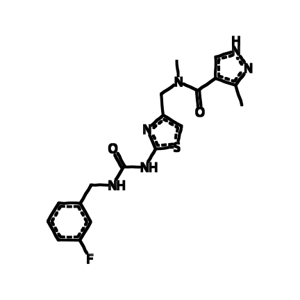 Cc1n[nH]cc1C(=O)N(C)Cc1csc(NC(=O)NCc2cccc(F)c2)n1